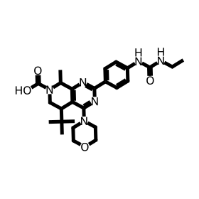 CCNC(=O)Nc1ccc(-c2nc3c(c(N4CCOCC4)n2)C(C(C)(C)C)CN(C(=O)O)C3C)cc1